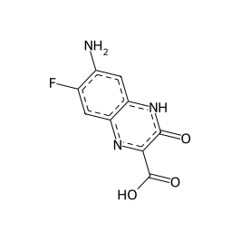 Nc1cc2[nH]c(=O)c(C(=O)O)nc2cc1F